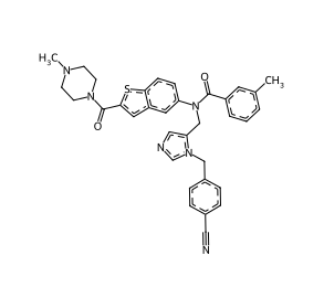 Cc1cccc(C(=O)N(Cc2cncn2Cc2ccc(C#N)cc2)c2ccc3sc(C(=O)N4CCN(C)CC4)cc3c2)c1